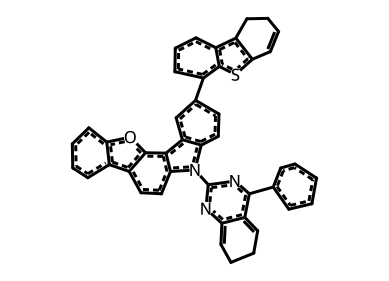 C1=Cc2sc3c(-c4ccc5c(c4)c4c6oc7ccccc7c6ccc4n5-c4nc(-c5ccccc5)c5c(n4)=CCCC=5)cccc3c2CC1